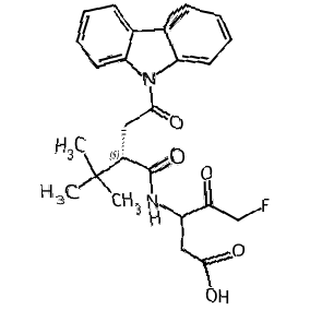 CC(C)(C)[C@H](CC(=O)n1c2ccccc2c2ccccc21)C(=O)NC(CC(=O)O)C(=O)CF